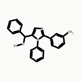 CCOC(c1ccccc1)c1cnc(-c2cccc(C)c2)n1-c1ccccc1